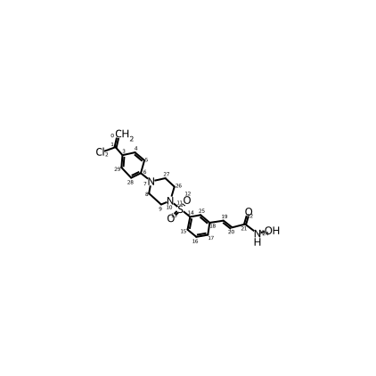 C=C(Cl)c1ccc(N2CCN(S(=O)(=O)c3cccc(C=CC(=O)NO)c3)CC2)cc1